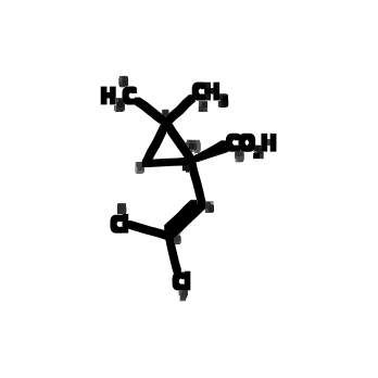 CC1(C)C[C@]1(C=C(Cl)Cl)C(=O)O